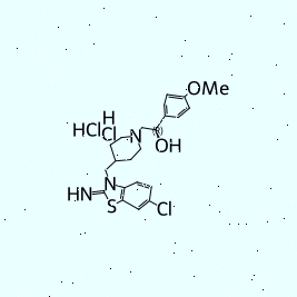 COc1ccc([C@@H](O)CN2CCC(Cn3c(=N)sc4cc(Cl)ccc43)CC2)cc1.Cl.Cl